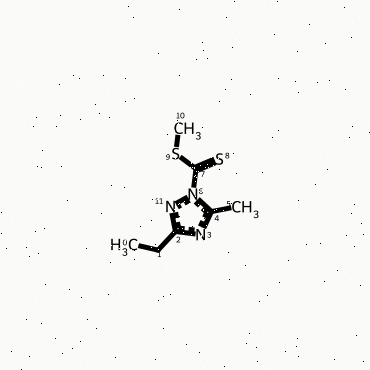 CCc1nc(C)n(C(=S)SC)n1